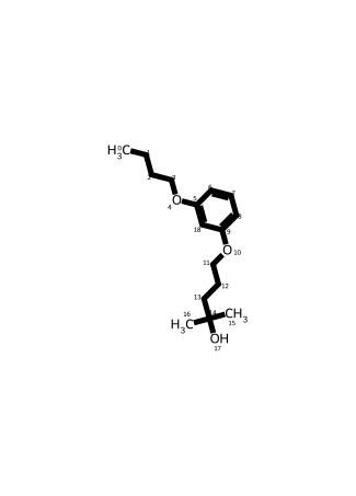 CCCCOc1cccc(OCCCC(C)(C)O)c1